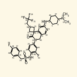 CN(C)C1CCC(Nc2ncc3c(n2)C2(CN(CC(F)(F)F)C2)C(=O)N(c2ccc(NS(=O)(=O)Cc4ccc(F)cc4)c(F)c2)C3)CC1